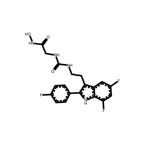 O=C(CNC(=O)NCCc1c(-c2ccc(F)cc2)[nH]c2c(F)cc(F)cc12)NO